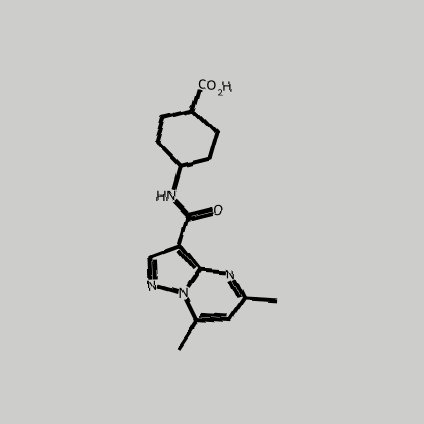 Cc1cc(C)n2ncc(C(=O)NC3CCC(C(=O)O)CC3)c2n1